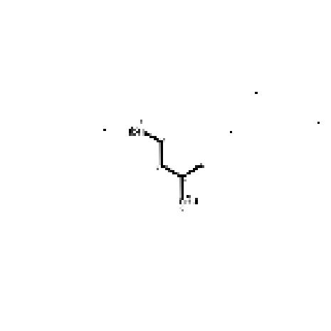 [CH2]CCCC(C)CCCCCC